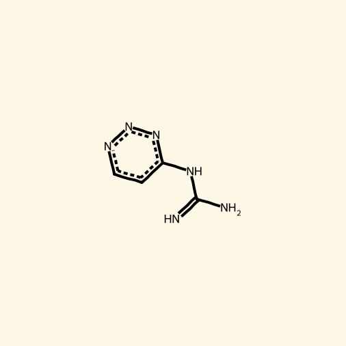 N=C(N)Nc1ccnnn1